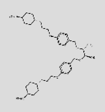 CCCCC[C@H]1CC[C@H](CCCOc2ccc(CO[C@H](C)[C@@H](C)OCc3ccc(OCCC[C@H]4CC[C@H](CCCCC)CC4)cc3)cc2)CC1